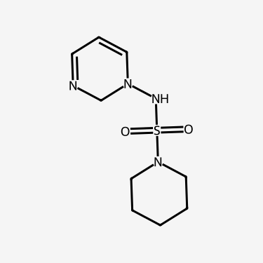 O=S(=O)(NN1C=CC=NC1)N1CCCCC1